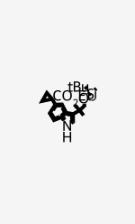 CCOC(=O)C1(c2ccc3[nH]cc(C(C)(C)CO[Si](C)(C)C(C)(C)C)c3c2)CC1